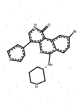 O=c1[nH]cc(-c2ccncc2)c2nc(N[C@H]3CCCNC3)c3ccc(Br)cc3c12